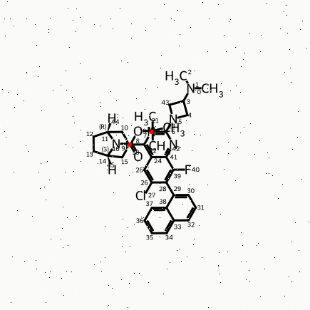 CN(C)C1CN(c2nc(N3C[C@H]4CC[C@@H](C3)N4C(=O)OC(C)(C)C)c3cc(Cl)c(-c4cccc5ccccc45)c(F)c3n2)C1